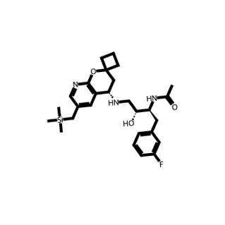 CC(=O)N[C@@H](Cc1cccc(F)c1)[C@H](O)CN[C@H]1CC2(CCC2)Oc2ncc(C[Si](C)(C)C)cc21